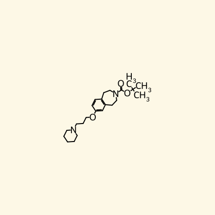 CC(C)(C)OC(=O)N1CCc2ccc(OCCCN3CCCCC3)cc2CC1